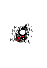 CCC(=O)O[C@@H]1[C@@H](C)N(C)C[C@H](C)C[C@@](C)(O)[C@H](O[C@@H]2O[C@H](C)CC(N(C)C)[C@H]2O[N+](=O)[O-])[C@@H](C)[C@H](O[C@H]2C[C@@](C)(OC)[C@@H](O)[C@H](C)O2)[C@@H](C)C(=O)O[C@H](CC)[C@@]1(C)O